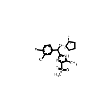 Cc1[nH]c(C(O[C@H]2CCC[C@@H]2F)c2ccc(F)c(Cl)c2)nc1S(C)(=O)=O